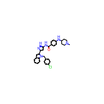 CN1CCC(Nc2ccc(C(=O)Nc3cc(-c4cc5ccccc5n4Cc4ccc(Cl)cc4)n[nH]3)cc2)CC1